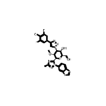 CO[C@@H]1[C@@H](n2cc(-c3cc(F)c(Cl)c(F)c3)nn2)[C@@H](O)[C@@H](CO)O[C@H]1c1nc(C)nn1-c1ccc2ncsc2c1